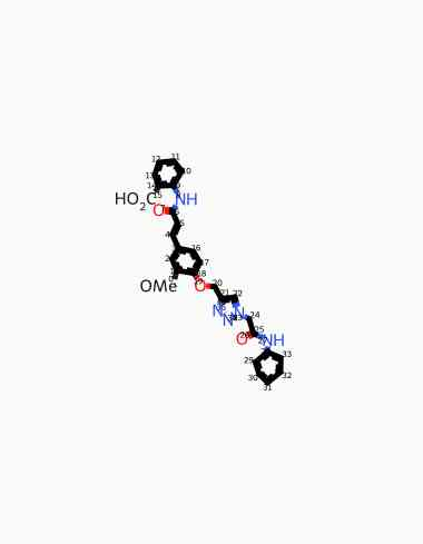 COc1cc(C=CC(=O)Nc2ccccc2C(=O)O)ccc1OCc1cn(CC(=O)Nc2ccccc2)nn1